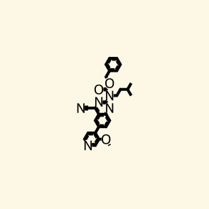 COc1cnccc1-c1ccc2nc(N(CCC(C)C)C(=O)OCc3ccccc3)nc(C#N)c2c1